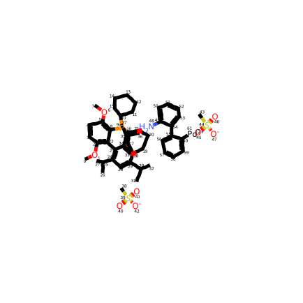 COc1ccc(OC)c(P(C2CCCCC2)C2CCCCC2)c1-c1c(C(C)C)cc(C(C)C)cc1C(C)C.CS(=O)(=O)[O-].CS(=O)(=O)[O-].Nc1ccccc1-c1cccc[c]1[Pd+2]